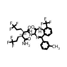 Cc1cccc(C2=NC(NC(=O)[C@H](CCC(F)(F)F)[C@H](CCC(F)(F)F)C(N)=O)C(=O)Nc3c2cccc3C(F)(F)F)c1